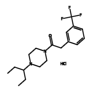 CCC(CC)N1CCN(C(=O)Cc2cccc(C(F)(F)F)c2)CC1.Cl